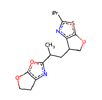 CC(C)c1nc2c(s1)OCC2CC(C)c1nc2c(o1)OCC2